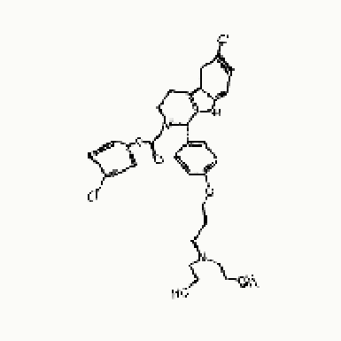 O=C(Oc1ccc(Cl)cc1)N1CCC2=C(NC3=CC=C(Cl)CC32)C1c1ccc(OCCCN(CCO)CCO)cc1